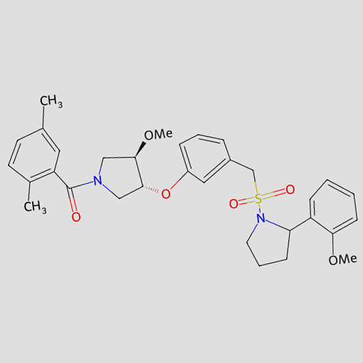 COc1ccccc1C1CCCN1S(=O)(=O)Cc1cccc(O[C@@H]2CN(C(=O)c3cc(C)ccc3C)C[C@H]2OC)c1